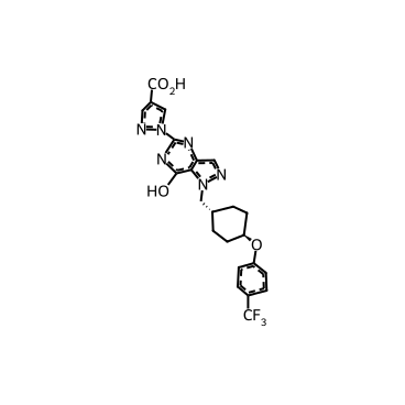 O=C(O)c1cnn(-c2nc(O)c3c(cnn3C[C@H]3CC[C@H](Oc4ccc(C(F)(F)F)cc4)CC3)n2)c1